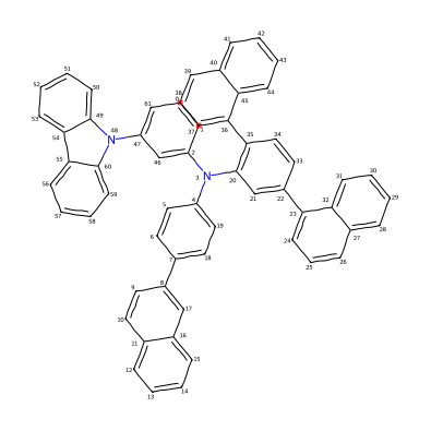 c1cc(N(c2ccc(-c3ccc4ccccc4c3)cc2)c2cc(-c3cccc4ccccc34)ccc2-c2cccc3ccccc23)cc(-n2c3ccccc3c3ccccc32)c1